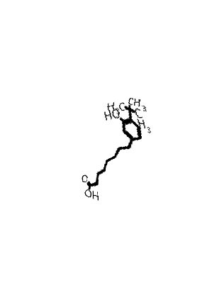 CC(C)(C)c1ccc(CCCCCCCC(=O)O)cc1O